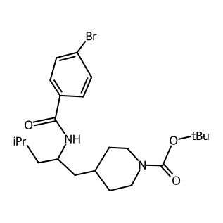 CC(C)CC(CC1CCN(C(=O)OC(C)(C)C)CC1)NC(=O)c1ccc(Br)cc1